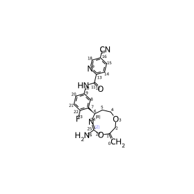 C=C1COCC[C@H](c2cc(NC(=O)c3ccc(C#N)cn3)ccc2F)/N=C(/N)O1